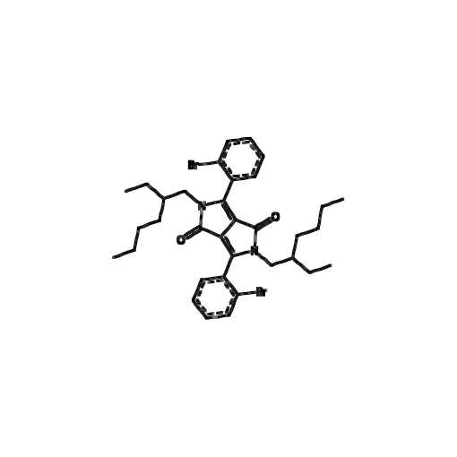 CCCCC(CC)CN1C(=O)C2=C(c3ccccc3Br)N(CC(CC)CCCC)C(=O)C2=C1c1ccccc1Br